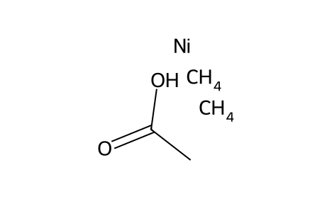 C.C.CC(=O)O.[Ni]